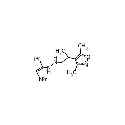 CCC/C=C(\NNCC(C)c1c(C)noc1C)C(C)C